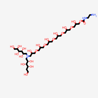 NCCNC(=O)OCC(O)COCC(O)COCC(O)COCC(O)COCC(O)COCC(O)CN(C[C@H](O)[C@@H](O)[C@H](O)[C@H](O)CO)C[C@H](O)[C@@H](O)[C@H](O)CCO